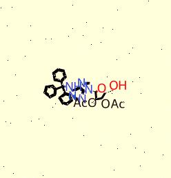 CC(=O)OC1[C@@H](CO)O[C@@H](n2cnc3c(NC(c4ccccc4)(c4ccccc4)c4ccccc4)ncnc32)[C@H]1OC(C)=O